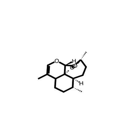 CC1=CO[C@@H]2O[C@]3(C)CC[C@H]4[C@H](C)CCC1[C@@]24OO3